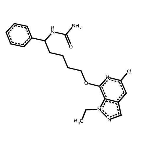 CCn1ncc2cc(Cl)nc(OCCCCC(NC(N)=O)c3ccccc3)c21